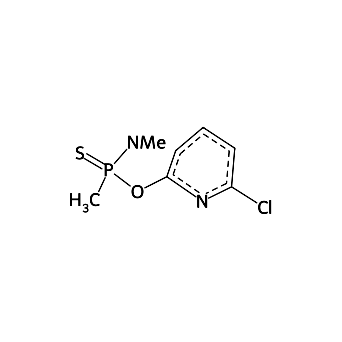 CNP(C)(=S)Oc1cccc(Cl)n1